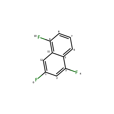 Fc1cc(F)c2cccc(F)c2c1